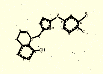 Oc1cccc2c1N(Cc1ccc(Sc3ccc(Cl)c(Cl)c3)s1)C=CC2